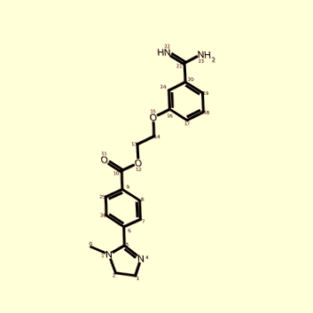 CN1CCN=C1c1ccc(C(=O)OCCOc2cccc(C(=N)N)c2)cc1